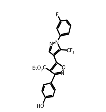 CCOC(=O)c1c(-c2ccc(O)cc2)noc1-c1cnn(-c2cccc(F)c2)c1C(F)(F)F